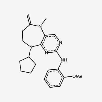 C=C1CCN(C2CCCC2)c2nc(Nc3ccccc3OC)ncc2N1C